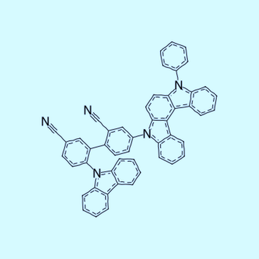 N#Cc1ccc(-n2c3ccccc3c3ccccc32)c(-c2ccc(-n3c4ccccc4c4c5c6ccccc6n(-c6ccccc6)c5ccc43)cc2C#N)c1